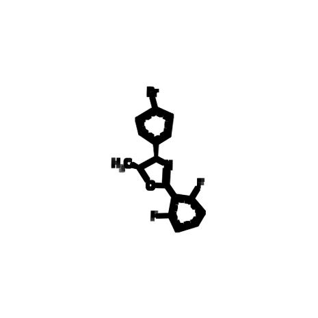 C[C@@H]1OC(c2c(F)cccc2F)=N[C@@H]1c1ccc(Br)cc1